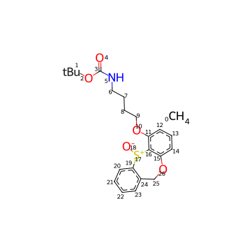 C.CC(C)(C)OC(=O)NCCCCOc1cccc2c1[S+]([O-])c1ccccc1CO2